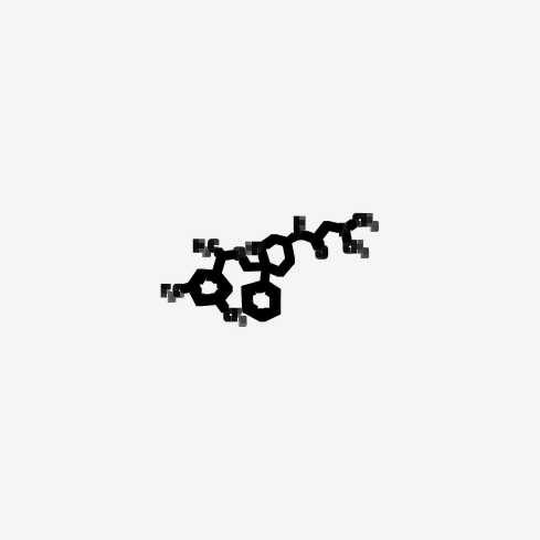 CC(OCC1(c2ccccc2)CC[C@H](NC(=O)CN(C)C)CN1)c1cc(C(F)(F)F)cc(C(F)(F)F)c1